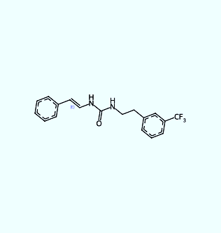 O=C(N/C=C/c1ccccc1)NCCc1cccc(C(F)(F)F)c1